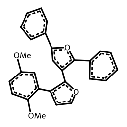 COc1ccc(OC)c(-c2ccoc2-c2cc(-c3ccccc3)oc2-c2ccccc2)c1